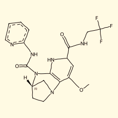 COC1=CC(C(=O)NCC(F)(F)F)NC2=C1N1CC[C@@H](C1)N2C(=O)Nc1ccccn1